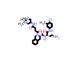 C=CC(CN(C)C)NC(=O)CCC(=O)N1Cc2ccccc2C[C@H]1C(=O)N[C@@H](CCN)C(=O)Nc1ccc(Cl)c(C)c1